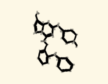 CC(C)c1cnn2c(NCc3ccccc3Oc3ccccc3)nc(OC3CCN(C)CC3)nc12